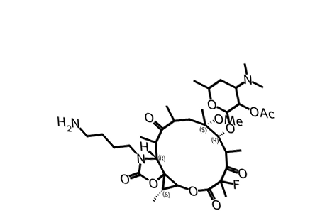 CO[C@@]1(C)CC(C)C(=O)C(C)[C@H]2N(CCCCN)C(=O)OC23C(OC(=O)C(C)(F)C(=O)C(C)[C@H]1OC1OC(C)CC(N(C)C)C1OC(C)=O)[C@@H]3C